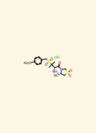 COc1ccc(CS(=O)(=O)C(C)(C)[C@H](N)C(=O)N2CS(=O)(=O)C[C@H]2C#N)cc1.Cl